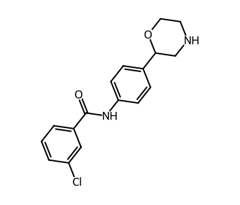 O=C(Nc1ccc(C2CNCCO2)cc1)c1cccc(Cl)c1